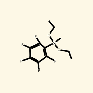 CCO[Si](C)(OCC)c1c(F)c(F)c(F)c(F)c1F